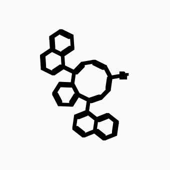 Brc1cccc(-c2cccc3ccccc23)c2ccccc2c(-c2cccc3ccccc23)cc1